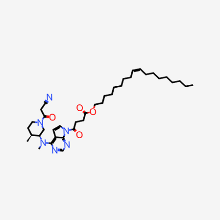 CCCCCCCC/C=C\CCCCCCCCOC(=O)CCC(=O)n1ccc2c(N(C)[C@@H]3CN(C(=O)CC#N)CC[C@@H]3C)ncnc21